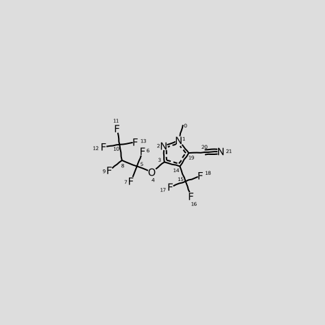 Cn1nc(OC(F)(F)C(F)C(F)(F)F)c(C(F)(F)F)c1C#N